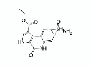 CCOC(=O)c1c[nH]c2c(=O)[nH]c3c(c12)=CC1C(C=3)[SH]1(N)=O